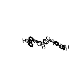 O=C1CCC(c2ccc(OCC(=O)N3CCC(NCC(O)COc4cccc5[nH]c6ccccc6c45)CC3)nc2)=NN1